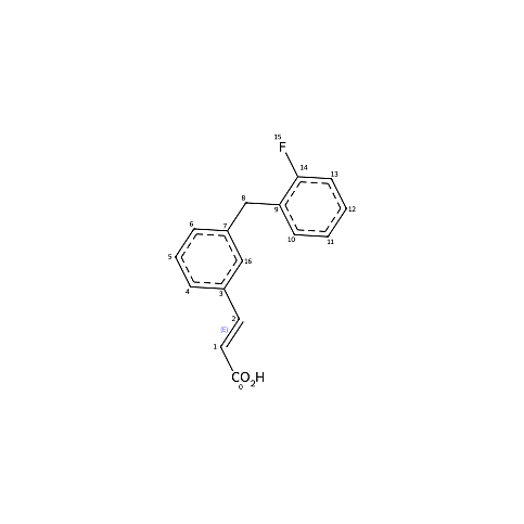 O=C(O)/C=C/c1cccc(Cc2ccccc2F)c1